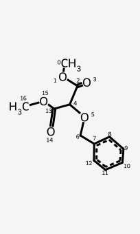 COC(=O)C(OCc1ccccc1)C(=O)OC